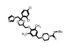 CCCCSC(=S)N1CCN(Cc2cc(C)c(OCC3COC(Cn4ccnc4)(c4ccc(Cl)cc4Cl)O3)c(C)c2)CC1